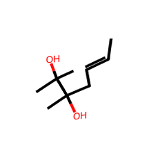 C/C=C/CC(C)(O)C(C)(C)O